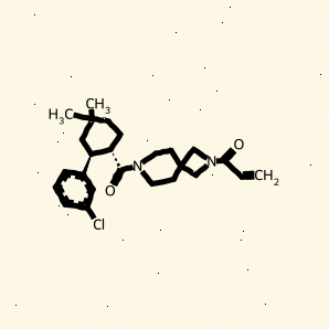 C=CC(=O)N1CC2(CCN(C(=O)[C@H]3CCC(C)(C)C[C@@H]3c3cccc(Cl)c3)CC2)C1